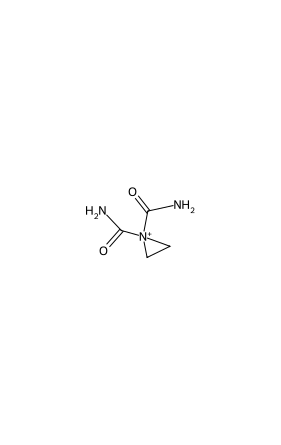 NC(=O)[N+]1(C(N)=O)CC1